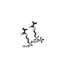 C=C(C)C(=O)OCCC[Si](C)(C)O[Si](C)(C)C.C=C(C)C(=O)OCCC[Si](C)(OC)OC